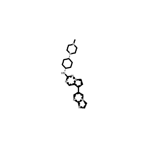 CN1CCN([C@H]2CC[C@@H](Nc3ncc4c(-c5cnc6nccn6c5)ccn4n3)CC2)CC1